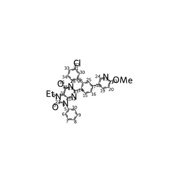 CCn1c(=O)n(-c2ccccc2)c2nc(-c3ccc(-c4ccc(OC)nc4)cc3)n(-c3ccc(Cl)cc3)c(=O)c21